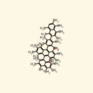 Bc1cc(B)c2c(B)c(-c3c(B)c(B)c(-c4c5c(B)c(B)c(B)c(B)c5c(-c5c(B)c(B)c(B)c6c(B)c(B)c(B)c(O)c56)c5c(O)c(B)c(B)c(B)c45)c(B)c3B)c(B)c(B)c2c1B